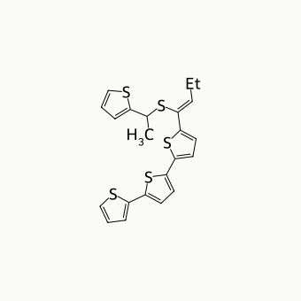 CC/C=C(\SC(C)c1cccs1)c1ccc(-c2ccc(-c3cccs3)s2)s1